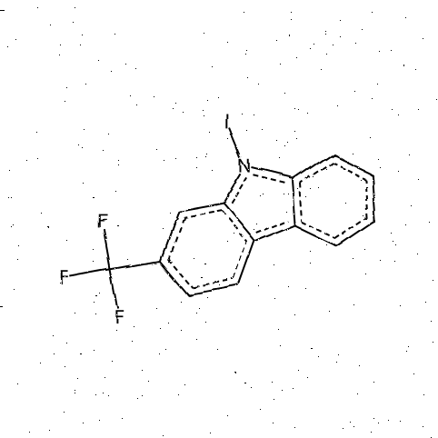 FC(F)(F)c1ccc2c3ccccc3n(I)c2c1